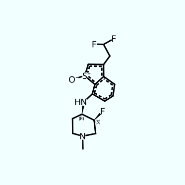 CN1CC[C@@H](Nc2cccc3c(CC(F)F)c[s+]([O-])c23)[C@@H](F)C1